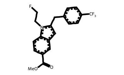 COC(=O)c1ccc2c(c1)cc(Cc1ccc(C(F)(F)F)cc1)n2CCF